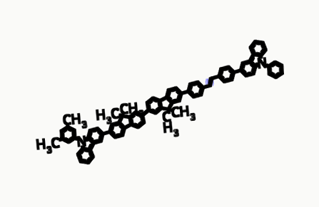 Cc1cc(C)cc(-n2c3ccccc3c3cc(-c4ccc5c(c4)C(C)(C)c4cc(-c6ccc7c(c6)C(C)(C)c6cc(-c8ccc(/C=C/c9ccc(-c%10ccc%11c(c%10)c%10ccccc%10n%11-c%10ccccc%10)cc9)cc8)ccc6-7)ccc4-5)ccc32)c1